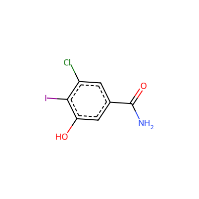 NC(=O)c1cc(O)c(I)c(Cl)c1